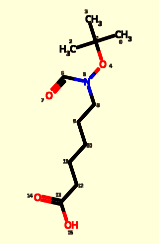 CC(C)(C)ON(C=O)CCCCCC(=O)O